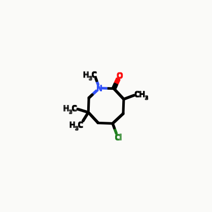 CC1CC(Cl)CC(C)(C)CN(C)C1=O